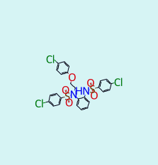 O=S(=O)(Nc1ccccc1N(CCOc1ccc(Cl)cc1)S(=O)(=O)c1ccc(Cl)cc1)c1ccc(Cl)cc1